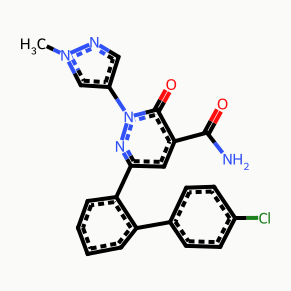 Cn1cc(-n2nc(-c3ccccc3-c3ccc(Cl)cc3)cc(C(N)=O)c2=O)cn1